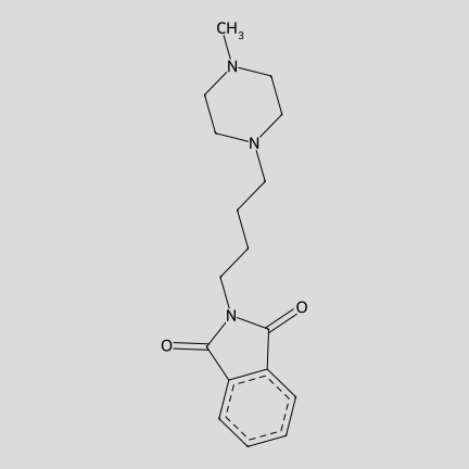 CN1CCN(CCCCN2C(=O)c3ccccc3C2=O)CC1